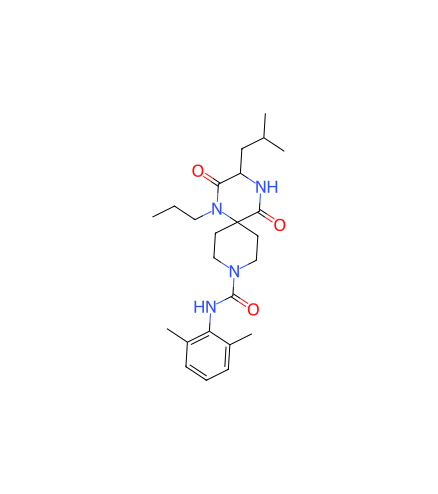 CCCN1C(=O)C(CC(C)C)NC(=O)C12CCN(C(=O)Nc1c(C)cccc1C)CC2